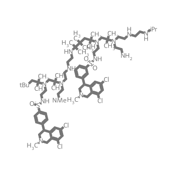 CNCCN(CCNCCNC(C)(C)C(C)(C)CC(C)(C)N(CCNS(=O)(=O)c1cccc(C2CN(C)Cc3c(Cl)cc(Cl)cc32)c1)CC(C)(C)N(CCN)CCNCCNC(C)C)C(C)(C)CN(CCN[S+]([O-])c1ccc(C2CN(C)Cc3c(Cl)cc(Cl)cc32)cc1)C(C)(C)CC(C)(C)C